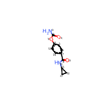 NC(=O)Oc1ccc(C(=O)NC2CC2)cc1